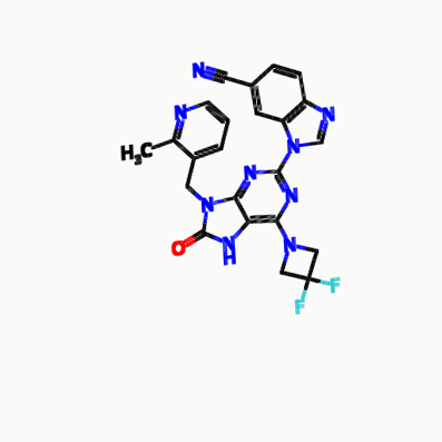 Cc1ncccc1Cn1c(=O)[nH]c2c(N3CC(F)(F)C3)nc(-n3cnc4ccc(C#N)cc43)nc21